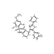 COc1cc(F)c(S(=O)(=O)Nc2cccc(-c3nc(-c4ccccc4)sc3-c3ccnc(Cl)n3)c2F)c(F)c1